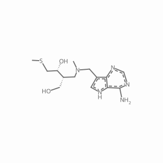 CSC[C@H](O)[C@@H](CO)CN(C)Cc1c[nH]c2c(N)ncnc12